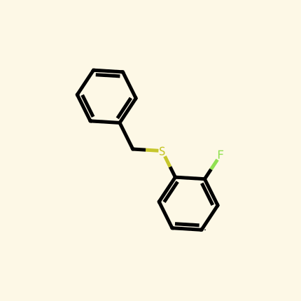 Fc1c[c]ccc1SCc1ccccc1